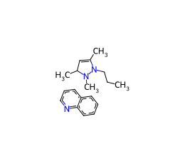 CCCN1C(C)=CC(C)N1C.c1ccc2ncccc2c1